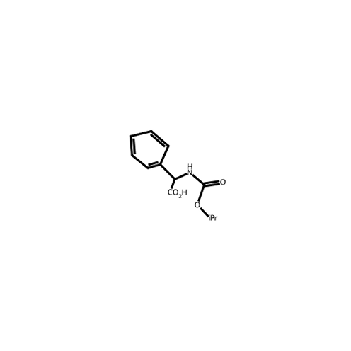 CC(C)OC(=O)NC(C(=O)O)c1ccccc1